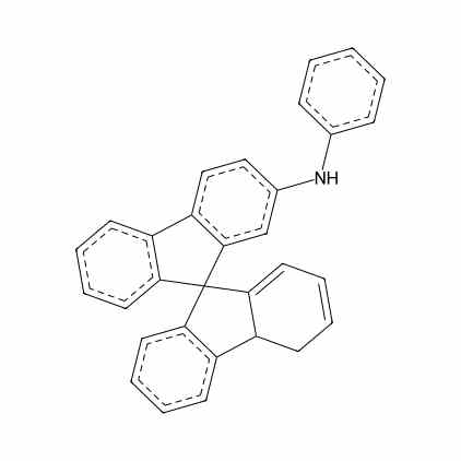 C1=CCC2C(=C1)C1(c3ccccc3-c3ccc(Nc4ccccc4)cc31)c1ccccc12